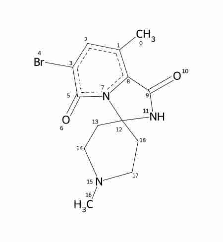 Cc1cc(Br)c(=O)n2c1C(=O)NC21CCN(C)CC1